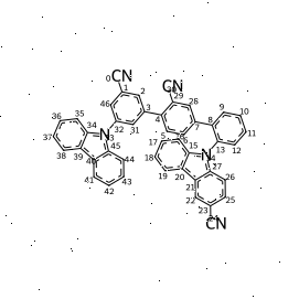 N#Cc1cc(-c2ccc(-c3ccccc3-n3c4ccccc4c4cc(C#N)ccc43)cc2C#N)cc(-n2c3ccccc3c3ccccc32)c1